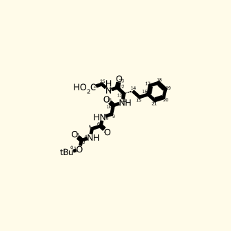 CC(C)(C)OC(=O)NCC(=O)NCC(=O)N[C@@H](CCc1ccccc1)C(=O)NCC(=O)O